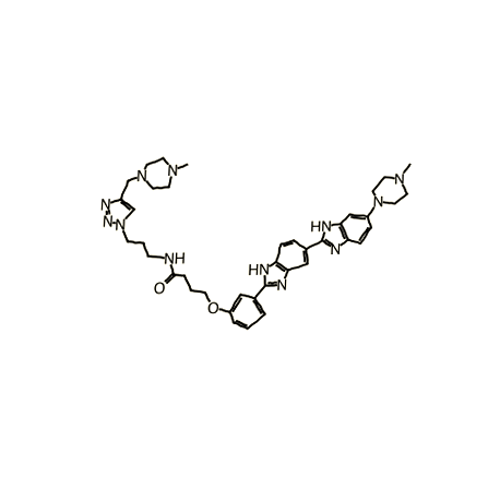 CN1CCN(Cc2cn(CCCNC(=O)CCCOc3cccc(-c4nc5cc(-c6nc7ccc(N8CCN(C)CC8)cc7[nH]6)ccc5[nH]4)c3)nn2)CC1